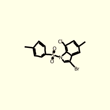 Cc1ccc(S(=O)(=O)n2cc(Br)c3cc(C)cc(Cl)c32)cc1